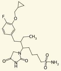 CCC(Cc1ccc(F)c(OCC2CC2)c1)C(CCCCS(N)(=O)=O)N1CC(=O)NC1=O